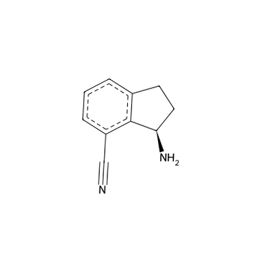 N#Cc1cccc2c1[C@H](N)CC2